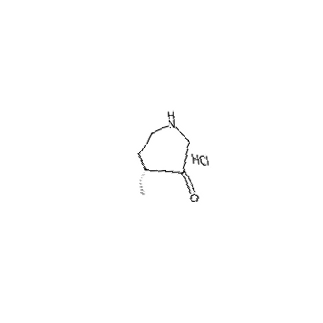 C[C@@H]1CCNCC1=O.Cl